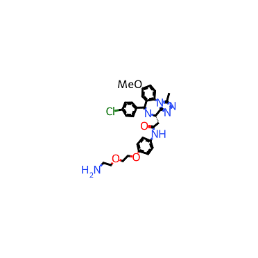 COc1ccc2c(c1)C(c1ccc(Cl)cc1)=N[C@@H](CC(=O)Nc1ccc(OCCOCCN)cc1)c1nnc(C)n1-2